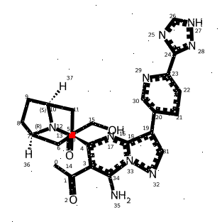 CC(=O)c1c([C@H]2C[C@H]3CC[C@@H](C2)N3C(=O)CO)nc2c(-c3ccc(-c4nc[nH]n4)nc3)cnn2c1N